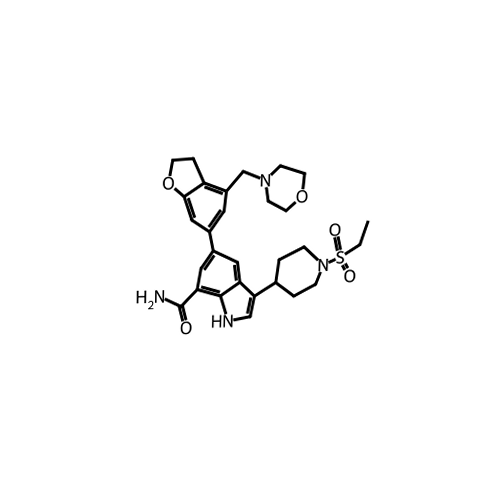 CCS(=O)(=O)N1CCC(c2c[nH]c3c(C(N)=O)cc(-c4cc(CN5CCOCC5)c5c(c4)OCC5)cc23)CC1